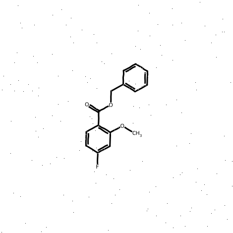 COc1cc(F)ccc1C(=O)OCc1ccccc1